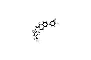 CC(c1ccc(-c2ccn(C)c(=O)c2)cc1)N1CC[C@](CCC(C)(C)O)(C(C)C)OC1=O